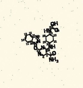 NC(=O)c1cnc(On2nnc3ccccc32)nc1NC1CCC(NC(=O)O)CC1